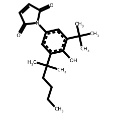 CCCCC(C)(C)c1cc(N2C(=O)C=CC2=O)cc(C(C)(C)C)c1O